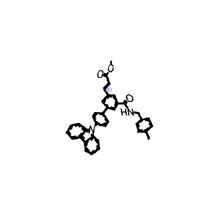 COC(=O)/C=C/c1cc(C(=O)NCc2ccc(C)cc2)cc(-c2ccc(-n3c4ccccc4c4ccccc43)cc2)c1